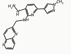 Cn1cc(-c2ccc(NN)c(NCc3ccc4ncccc4n3)n2)cn1